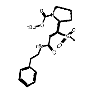 CC(C)(C)OC(=O)N1CCCC1C(CC(=O)NCCc1ccccc1)S(C)(=O)=O